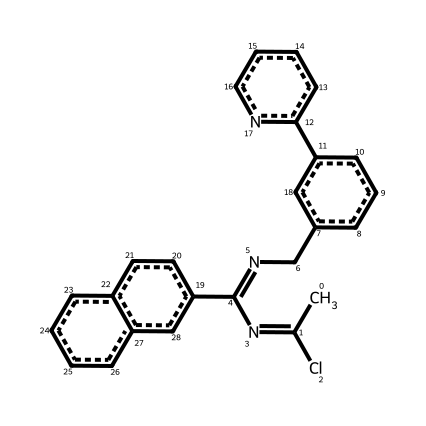 C/C(Cl)=N\C(=N/Cc1cccc(-c2ccccn2)c1)c1ccc2ccccc2c1